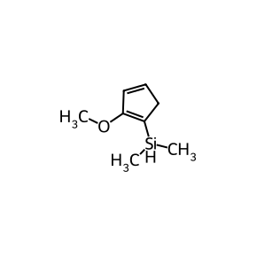 COC1=C([SiH](C)C)CC=C1